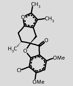 COc1cc(OC)c2c(c1Cl)O[C@@]1(Cc3c(oc(C)c3C)C[C@H]1C)C2=O